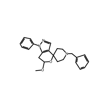 COC1Cc2c(cnn2-c2ccccc2)C2(CCN(Cc3ccccc3)CC2)O1